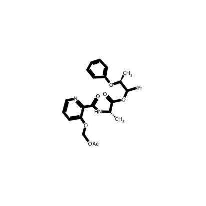 CC(=O)OCOc1cccnc1C(=O)N[C@@H](C)C(=O)OC(C(C)C)[C@H](C)Oc1ccccc1